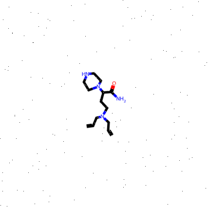 C=CCN(CC=C)CCC(C(N)=O)N1CCNCC1